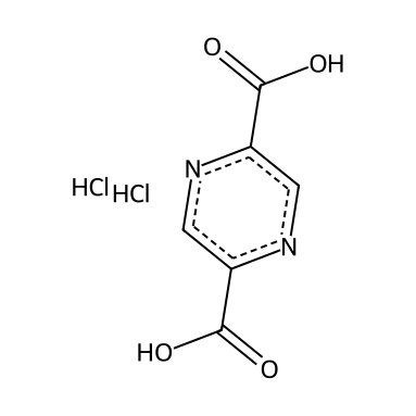 Cl.Cl.O=C(O)c1cnc(C(=O)O)cn1